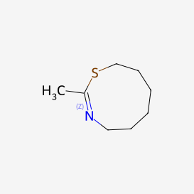 C/C1=N/CCCCCCS1